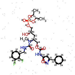 CCOP(=O)(OCC)OC[C@H](O)C[C@@H](COC(=O)Nc1cc(-c2ccccc2)no1)N(C)C(=O)NCc1cccc(F)c1F